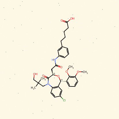 COc1cccc([C@H]2O[C@H](CC(=O)Nc3cccc(CCCCC(=O)O)c3)C(=O)N(CC(C)(C)CO)c3ccc(Cl)cc32)c1OC